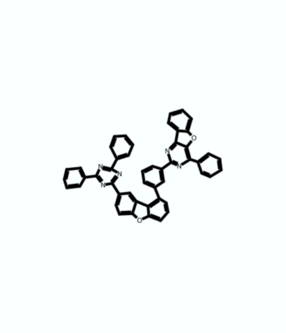 c1ccc(-c2nc(-c3ccccc3)nc(-c3ccc4oc5cccc(-c6cccc(-c7nc(-c8ccccc8)c8oc9ccccc9c8n7)c6)c5c4c3)n2)cc1